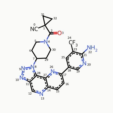 N#CC1(C(=O)N2CCC(n3nnc4cnc5ccc(-c6cnc(N)c(C(F)(F)F)c6)nc5c43)CC2)CC1